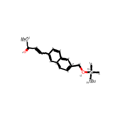 COC(=O)C=Cc1ccc2cc(CO[Si](C)(C)C(C)(C)C)ccc2c1